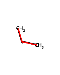 CCCCCCCCCCCCCCCCCCCCCCCCCCCCc1c[c]cc(CCCCCCCCCCCCCCCCCCCCCCCCCCCC)c1